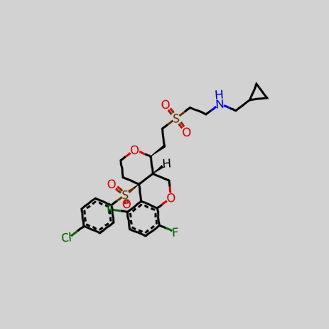 O=S(=O)(CCNCC1CC1)CC[C@@H]1OCC[C@@]2(S(=O)(=O)c3ccc(Cl)cc3)c3c(F)ccc(F)c3OC[C@@H]12